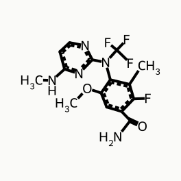 CNc1ccnc(N(c2c(OC)cc(C(N)=O)c(F)c2C)C(F)(F)F)n1